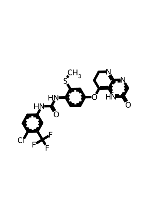 CSc1cc(OC2=c3[nH]c(=O)cnc3=NCC2)ccc1NC(=O)Nc1ccc(Cl)c(C(F)(F)F)c1